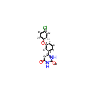 O=C1CC(c2cccc(Oc3ccc(Cl)cc3)c2)NC(=O)N1